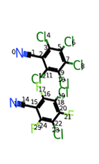 N#Cc1c(Cl)c(Cl)c(Cl)c(Cl)c1Cl.N#Cc1c(F)c(Cl)c(F)c(Cl)c1F